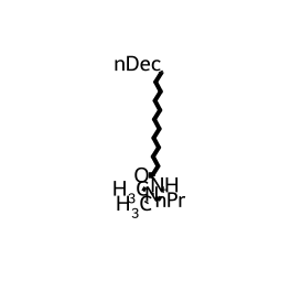 CCCCCCCCCCCCCCCCCCCCCC(=O)N[N+](C)(C)CCC